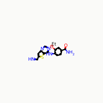 CCOc1cc(C(N)=O)ccc1Nc1ncnc2cc(C=N)sc12